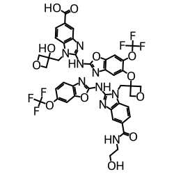 O=C(O)c1ccc2c(c1)nc(Nc1nc3cc(OC4(Cn5c(Nc6nc7ccc(OC(F)(F)F)cc7o6)nc6cc(C(=O)NCCO)ccc65)COC4)c(OC(F)(F)F)cc3o1)n2CC1(O)COC1